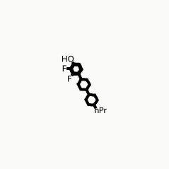 CCCC1CCC(C2CCC(c3ccc(O)c(F)c3F)CC2)CC1